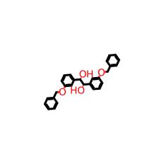 O[C@@H](c1cccc(OCc2ccccc2)c1)[C@@H](O)c1cccc(OCc2ccccc2)c1